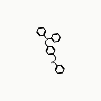 c1ccc(NCc2ccc(CN(c3ccccc3)c3ccccc3)cc2)cc1